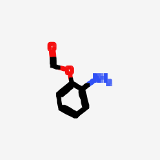 Nc1ccccc1OC=O